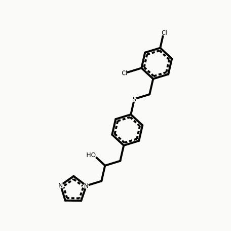 OC(Cc1ccc(SCc2ccc(Cl)cc2Cl)cc1)Cn1ccnc1